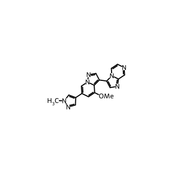 COc1cc(-c2cnn(C)c2)cn2ncc(-c3cnc4cnccn34)c12